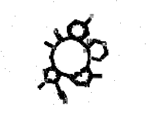 Cc1ncc2nc1N1CCOC[C@@H]1c1cc(F)ccc1C(=O)N(C)Cc1nn(C)c(C#N)c1-2